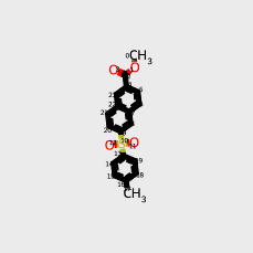 COC(=O)c1ccc2cc(S(=O)(=O)c3ccc(C)cc3)ccc2c1